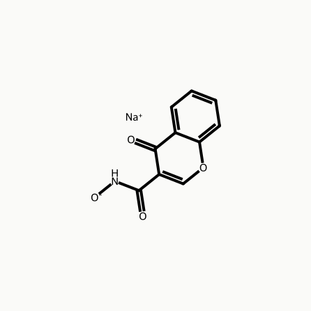 O=C(N[O-])c1coc2ccccc2c1=O.[Na+]